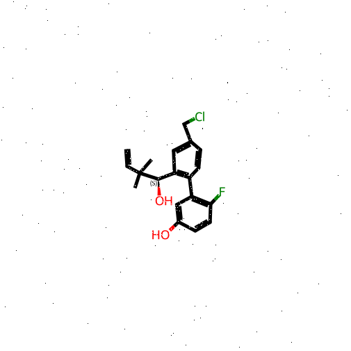 C=CC(C)(C)[C@H](O)c1cc(CCl)ccc1-c1cc(O)ccc1F